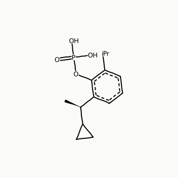 CC(C)c1cccc([C@H](C)C2CC2)c1OP(=O)(O)O